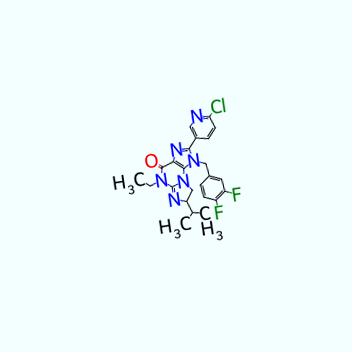 CCN1C(=O)c2nc(-c3ccc(Cl)nc3)n(Cc3ccc(F)c(F)c3)c2N2CC(C(C)C)N=C12